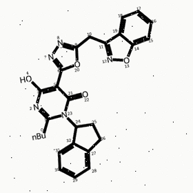 CCCCc1nc(O)c(-c2nnc(Cc3noc4ccccc34)o2)c(=O)n1C1CCc2ccccc21